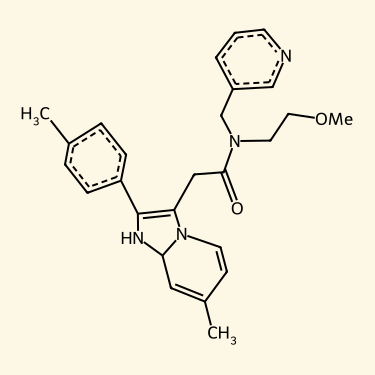 COCCN(Cc1cccnc1)C(=O)CC1=C(c2ccc(C)cc2)NC2C=C(C)C=CN12